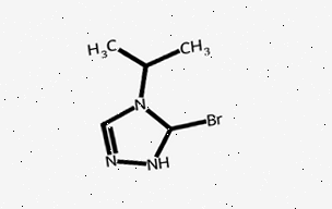 CC(C)N1C=NNC1Br